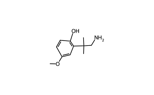 COc1ccc(O)c(C(C)(C)CN)c1